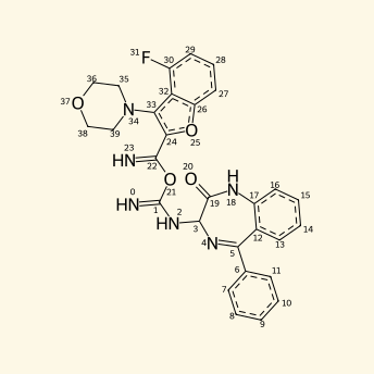 N=C(NC1N=C(c2ccccc2)c2ccccc2NC1=O)OC(=N)c1oc2cccc(F)c2c1N1CCOCC1